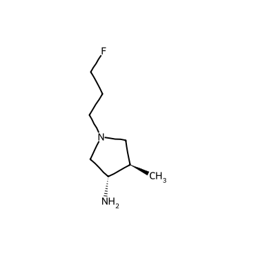 C[C@@H]1CN(CCCF)C[C@H]1N